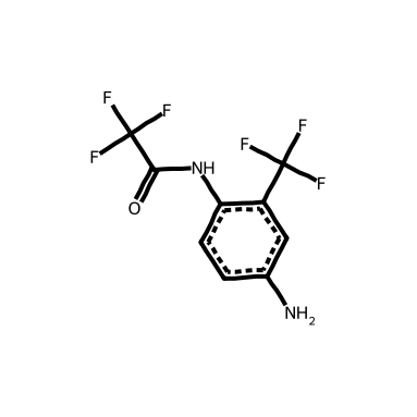 Nc1ccc(NC(=O)C(F)(F)F)c(C(F)(F)F)c1